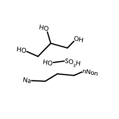 CCCCCCCCCCC[CH2][Na].O=S(=O)(O)O.OCC(O)CO